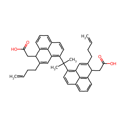 C=CCCC1=Cc2c(C(C)(C)c3ccc4cccc5c4c3C=C(CCC=C)C5CC(=O)O)ccc3cccc(c23)C1CC(=O)O